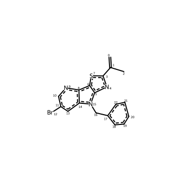 C=C(C)c1nc2c(s1)c1ncc(Br)cc1n2Cc1ccccc1